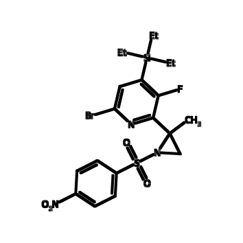 CC[Si](CC)(CC)c1cc(Br)nc(C2(C)CN2S(=O)(=O)c2ccc([N+](=O)[O-])cc2)c1F